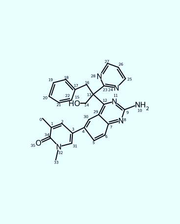 Cc1cc(-c2ccc3nc(N)nc(C(CO)(Cc4ccccc4)c4ncccn4)c3c2)cn(C)c1=O